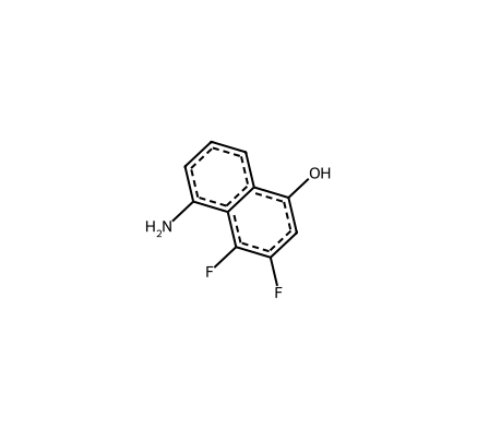 Nc1cccc2c(O)cc(F)c(F)c12